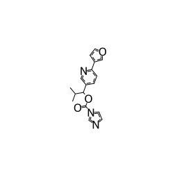 CC(C)C(OC(=O)n1ccnc1)c1ccc(-c2ccoc2)nc1